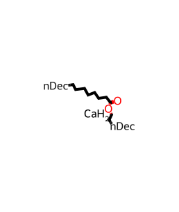 CCCCCCCCCCCCCCCCCC(=O)OCCCCCCCCCCCC.[CaH2]